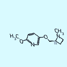 COc1ccc(OC[C@@H]2CCN2C)cn1